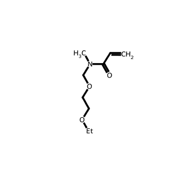 C=CC(=O)N(C)COCCOCC